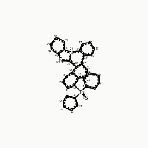 S=P(c1ccccc1)(c1ccccc1)c1cccc2c1ccc1c3ccccc3n3c4ccccc4nc3c21